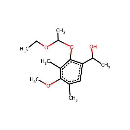 CCOC(C)Oc1c(C(C)O)cc(C)c(OC)c1C